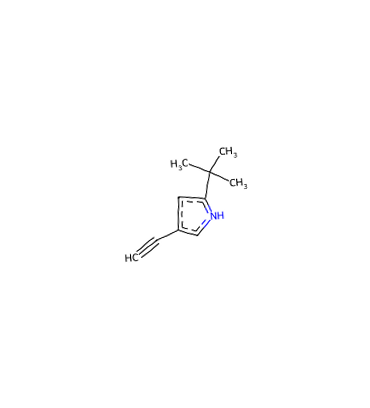 C#Cc1c[nH]c(C(C)(C)C)c1